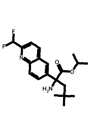 CC(C)OC(=O)C(N)(CC(C)(C)C)c1ccc2nc(C(F)F)ccc2c1